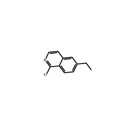 CCc1ccc2c(Cl)nccc2c1